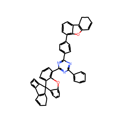 C1=CC2=C(CC1)C1(c3ccccc3Oc3c(-c4nc(-c5ccccc5)nc(-c5ccc(-c6cccc7c8c(oc67)C=CCC8)cc5)n4)cccc31)c1ccccc12